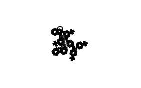 CC(C)(C)c1ccc(N(c2ccc(C(C)(C)C)cc2)c2ccc3c(c2)N(c2cccc4c2oc2ccccc24)c2cc(C(C)(C)C)cc4c2B3c2cc(C(C)(C)C)cc3c5oc6ccccc6c5n-4c23)cc1